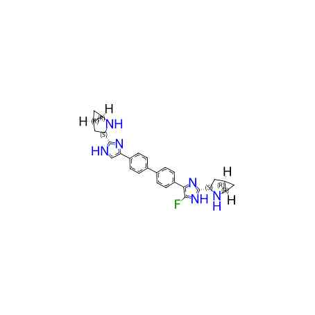 Fc1[nH]c([C@@H]2C[C@H]3C[C@H]3N2)nc1-c1ccc(-c2ccc(-c3c[nH]c([C@@H]4C[C@H]5C[C@H]5N4)n3)cc2)cc1